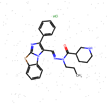 CCCN(N=Cc1c(-c2ccccc2)nc2sc3ccccc3n12)C(=O)C1CCCNC1.Cl